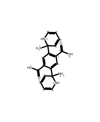 NC1(c2cc(C(=O)O)c(C3(N)C=CC=CN3)cc2C(=O)O)C=CC=CN1